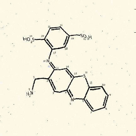 NCc1cc2nc3ccccc3sc-2c/c1=N\c1cc(S(=O)(=O)O)ccc1S(=O)(=O)O